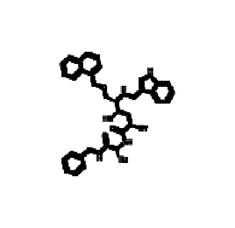 CC[C@H](C)[C@H](NC(=O)[C@@H](C[C@H](O)[C@H](COCc1cccc2ccccc12)NCc1c[nH]c2ccccc12)C(C)C)C(=O)NCc1ccccc1